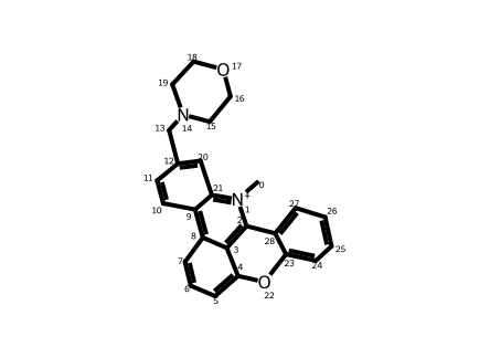 C[n+]1c2c3c(cccc3c3ccc(CN4CCOCC4)cc31)Oc1ccccc1-2